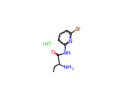 CCC(N)C(=O)Nc1cccc(Br)n1.Cl